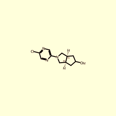 OC1C[C@@H]2CN(c3cnc(Cl)cn3)C[C@@H]2C1